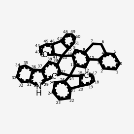 c1ccc2c(c1)CCc1cc3c(cc1-2)C1(c2ccccc2-c2ccccc21)c1cc2[nH]c4ccccc4c2cc1C31c2ccccc2-c2ccccc21